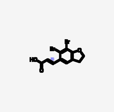 O=C(O)/C=C/c1cc2c(c(Br)c1Br)OCC2